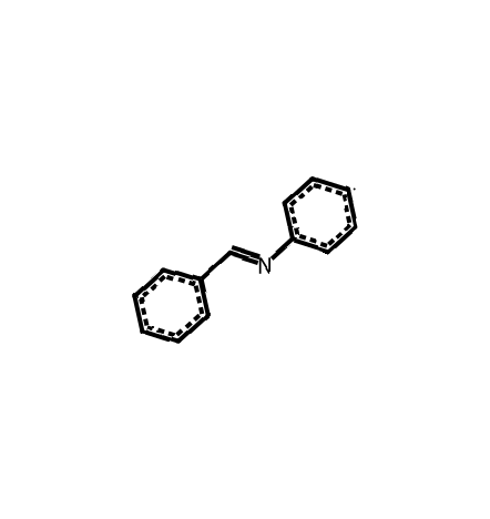 [c]1ccc(N=Cc2ccccc2)cc1